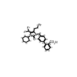 CC(C)CCc1c(C(F)F)n(C2CCCCC2)c(=O)n1Cc1ccc(-c2ccccc2C(=O)O)cc1